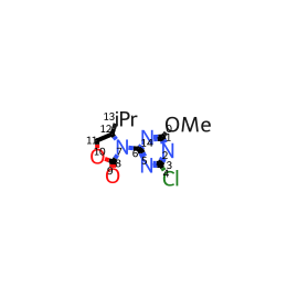 COc1nc(Cl)nc(N2C(=O)OCC2C(C)C)n1